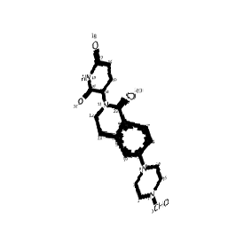 O=CN1CCN(c2ccc3c(c2)CCN(C2CCC(=O)NC2=O)C3=O)CC1